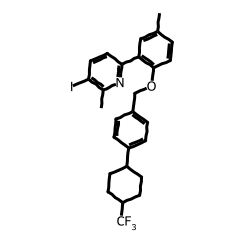 Cc1ccc(OCc2ccc(C3CCC(C(F)(F)F)CC3)cc2)c(-c2ccc(I)c(C)n2)c1